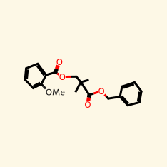 COc1ccccc1C(=O)OCC(C)(C)C(=O)OCc1ccccc1